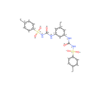 Cc1ccc(S(=O)(=O)NC(=O)Nc2cc(C)cc(NC(=O)NS(=O)(=O)c3ccc(C)cc3)c2)cc1